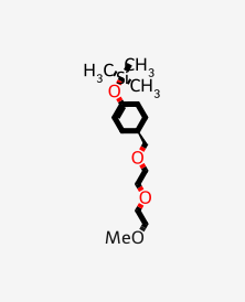 COCCOCCOC[C@H]1CC=C(O[Si](C)(C)C)CC1